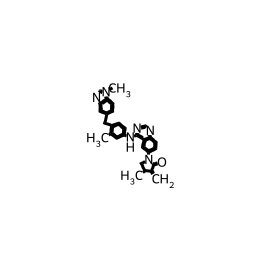 C=C1C(=O)N(c2ccc3ncnc(Nc4ccc(Cc5ccc6c(c5)ncn6C)c(C)c4)c3c2)CC1C